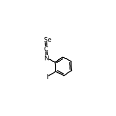 [Se]=C=Nc1ccccc1I